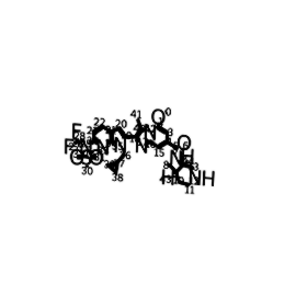 COc1cc(C(=O)N2C[C@H]3CCNC[C@H]32)cc2nc(-c3cc4ccc(N(C(F)F)S(C)(=O)=O)nc4n3CC3CC3)c(C)n12